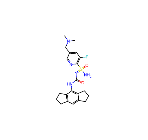 CN(C)Cc1cnc(S(N)(=O)=NC(=O)Nc2c3c(cc4c2CCC4)CCC3)c(F)c1